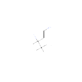 CC(C)C(C)(C)C(C)(N)CCN